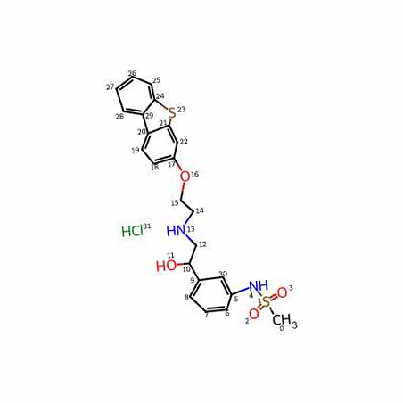 CS(=O)(=O)Nc1cccc(C(O)CNCCOc2ccc3c(c2)sc2ccccc23)c1.Cl